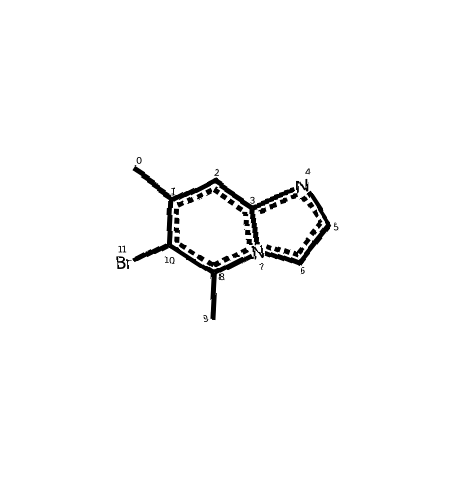 Cc1cc2nccn2c(C)c1Br